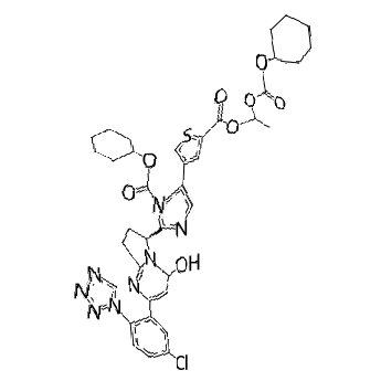 CC(OC(=O)OC1CCCCC1)OC(=O)c1cc(-c2cnc([C@@H]3CCC4=NC(c5cc(Cl)ccc5-n5cnnn5)=CC(O)N43)n2C(=O)OC2CCCCC2)cs1